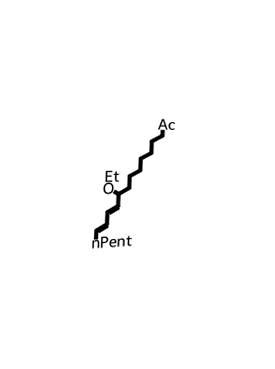 CCCCC/C=C/C=C/C(CCCCCCCC(C)=O)OCC